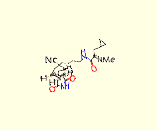 CN[C@@H](CC1CC1)C(=O)NCCCCC1(C#N)C[C@H]2CC[C@@H]1[C@H]1C(=O)NC(=O)[C@@H]21